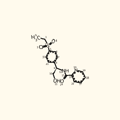 CCS(=O)(=O)c1ccc([C@H](CO)NC(=O)c2ccccn2)cc1